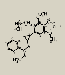 CCC(CC1CC1c1cc(OC)c(OC)c(OC)c1)c1ccccc1.CNC